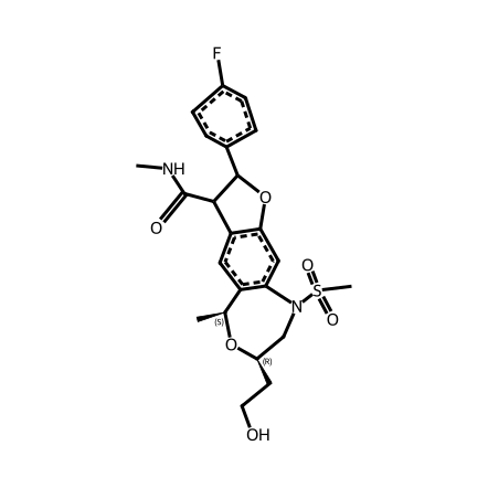 CNC(=O)C1c2cc3c(cc2OC1c1ccc(F)cc1)N(S(C)(=O)=O)C[C@@H](CCO)O[C@H]3C